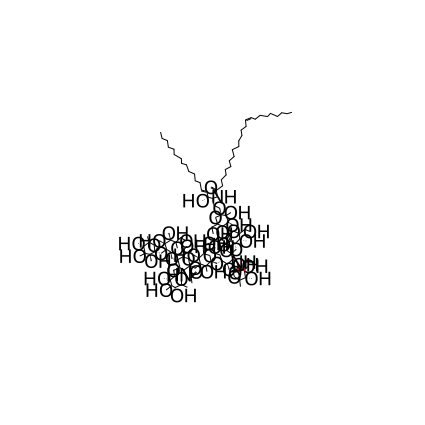 CCCCCCCC/C=C\CCCCCCCCCCCCCC(=O)N[C@@H](CO[C@@H]1OC(CO)[C@@H](O[C@@H]2OC(CO)[C@H](O)[C@H](O[C@@H]3OC(CO)[C@@H](O[C@@H]4OC(CO)[C@H](O)[C@H](O[C@@H]5OC(CO)[C@@H](O[C@@H]6OC(CO)[C@H](O)[C@H](O)C6O[C@H]6OC(C)[C@@H](O)C(O)[C@@H]6O)[C@H](O[C@H]6OC(C)[C@@H](O)C(O)[C@@H]6O)C5NC(C)=O)C4O)[C@H](O[C@H]4OC(C)[C@@H](O)C(O)[C@@H]4O)C3NC(C)=O)C2O)[C@H](O)C1O)[C@H](O)/C=C/CCCCCCCCCCCCC